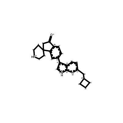 O=C1CC2(CCNCC2)c2cc(-c3c[nH]c4nc(CC5CCC5)ccc34)ccc21